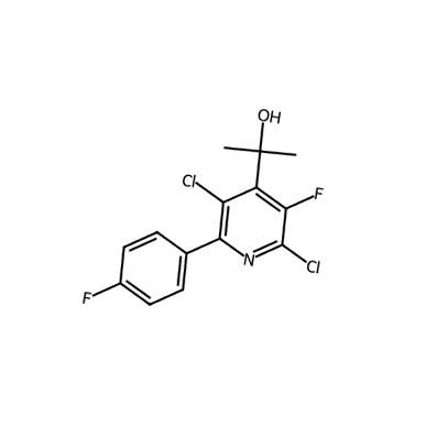 CC(C)(O)c1c(F)c(Cl)nc(-c2ccc(F)cc2)c1Cl